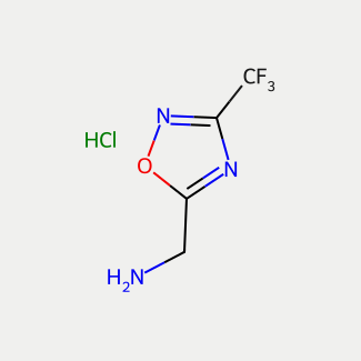 Cl.NCc1nc(C(F)(F)F)no1